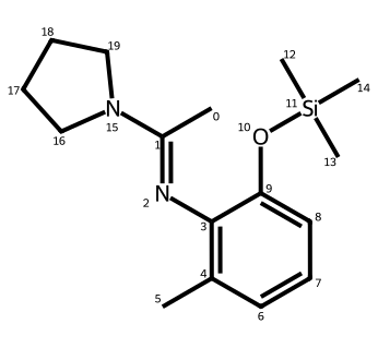 CC(=Nc1c(C)cccc1O[Si](C)(C)C)N1CCCC1